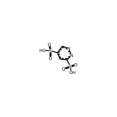 O=S(=O)(O)c1cnnc(S(=O)(=O)O)c1